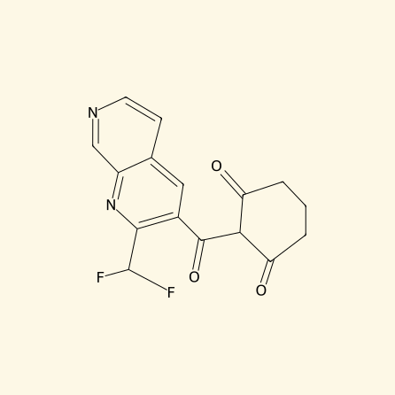 O=C1CCCC(=O)C1C(=O)c1cc2ccncc2nc1C(F)F